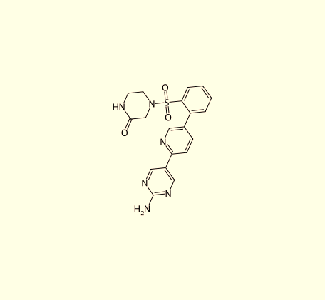 Nc1ncc(-c2ccc(-c3ccccc3S(=O)(=O)N3CCNC(=O)C3)cn2)cn1